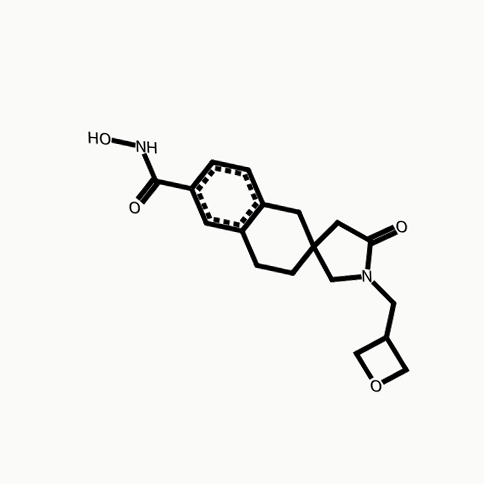 O=C(NO)c1ccc2c(c1)CCC1(CC(=O)N(CC3COC3)C1)C2